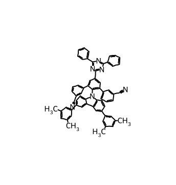 Cc1cc(C)cc(-c2ccc3c(c2)c2cc(-c4cc(C)cc(C)c4)ccc2n3-c2c(-c3cccc(C#N)c3)cc(-c3nc(-c4ccccc4)nc(-c4ccccc4)n3)cc2-c2cccc(C#N)c2)c1